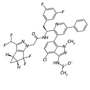 Cn1nc(N[S+](C)[O-])c2c(Cl)ccc(-c3cc(-c4ccccc4)cnc3[C@H](Cc3cc(F)cc(F)c3)NC(=O)Cn3nc(C(F)F)c4c3C(F)(F)[C@@H]3C[C@H]43)c21